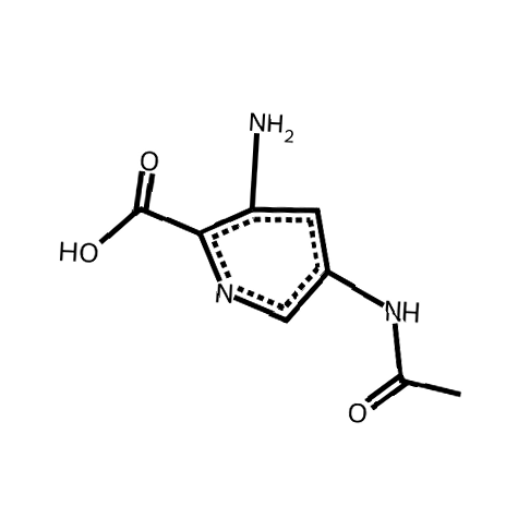 CC(=O)Nc1cnc(C(=O)O)c(N)c1